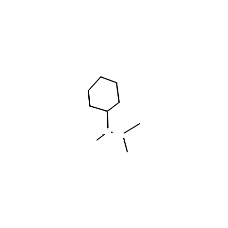 C[SiH](C)[SiH](C)C1CCCCC1